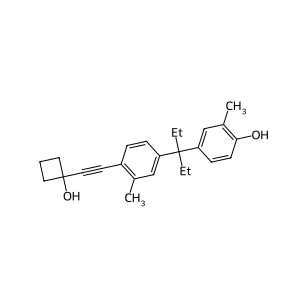 CCC(CC)(c1ccc(O)c(C)c1)c1ccc(C#CC2(O)CCC2)c(C)c1